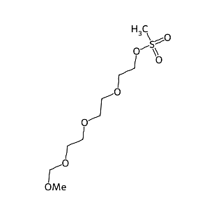 COCOCCOCCOCCOS(C)(=O)=O